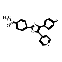 C[S+]([O-])c1ccc(-c2nc(-c3ccc(F)cc3)c(-c3ccncc3)o2)cc1